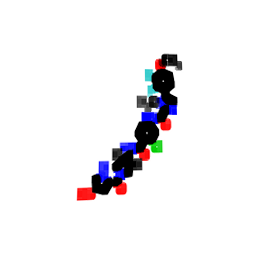 COc1ccc(-c2cnc(C(=O)Nc3ccc(C(=O)N[C@H]4[C@@H]5CN(C(=O)[C@@H]6C[C@@H](O)CN6)C[C@@H]54)c(Cl)c3)n2C)c(F)c1F